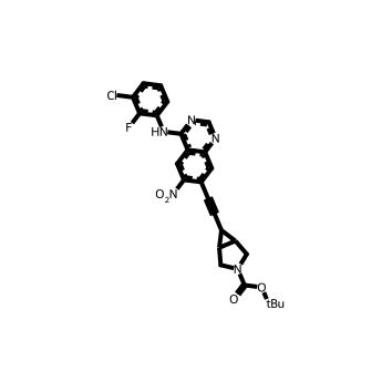 CC(C)(C)OC(=O)N1CC2C(C#Cc3cc4ncnc(Nc5cccc(Cl)c5F)c4cc3[N+](=O)[O-])C2C1